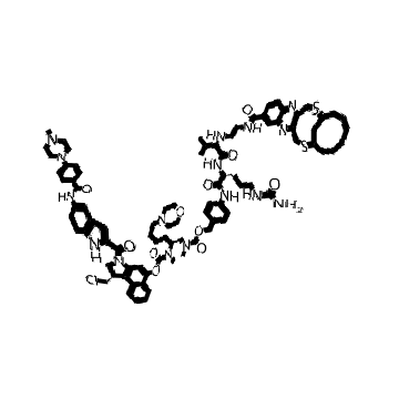 CC(C)[C@@H](NCCNC(=O)c1ccc2nc3c(nc2c1)CSC1CCCCCCC(C1)SC3)C(=O)N[C@H](CCCNC(N)=O)C(=O)Nc1ccc(COC(=O)N(C)C[C@H](CCCCN2CCOCC2)N(C)C(=O)Oc2cc3c(c4ccccc24)[C@H](CCl)CN3C(=O)c2cc3cc(NC(=O)c4ccc(N5CCN(C)CC5)cc4)ccc3[nH]2)cc1